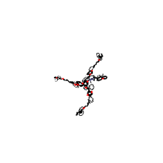 C=CC(=O)OCCCCCCOc1ccc(C(=O)Oc2cc(/C=N/Nc3ccc4ccccc4c3)c(OC(=O)c3ccc(OCCCCCCOC(=O)C=C)cc3)c3ccc(OCCCCCCOC(=O)C=C)cc23)cc1